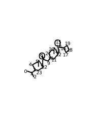 CC(C)C1CCN(C(=O)CC2CCN(C(=O)C3CCC3)CC2)CC1